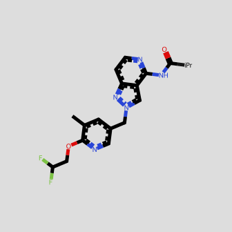 Cc1cc(Cn2cc3c(NC(=O)C(C)C)nccc3n2)cnc1OCC(F)F